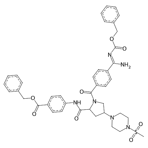 CS(=O)(=O)N1CCN(C2CC(C(=O)Nc3ccc(C(=O)OCc4ccccc4)cc3)N(C(=O)c3ccc(C(N)=NC(=O)OCc4ccccc4)cc3)C2)CC1